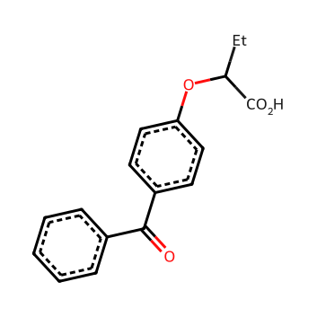 CCC(Oc1ccc(C(=O)c2ccccc2)cc1)C(=O)O